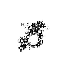 C=C[C@@H]1C[C@]1(NC(=O)[C@@H]1C[C@@H]2CN1C(=O)[C@H](C1(C)CCCCC1)NC(=O)O[C@@H]1C[C@H]1CCCCCc1c(nc3ccccc3c1OC1CC3CCC(C1)N3C)O2)C(=O)NS(=O)(=O)C1(C)CC1